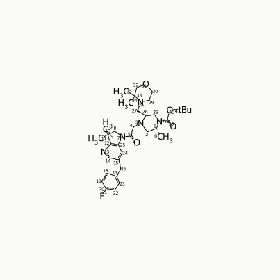 C[C@@H]1CN(CC(=O)N2CC(C)(C)c3ncc(Cc4ccc(F)cc4)cc32)[C@@H](CN2CCOCC2(C)C)CN1C(=O)OC(C)(C)C